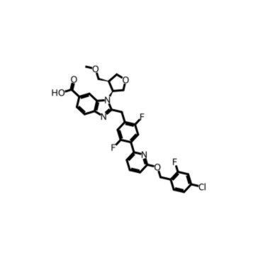 COC[C@H]1COC[C@H]1n1c(Cc2cc(F)c(-c3cccc(OCc4ccc(Cl)cc4F)n3)cc2F)nc2ccc(C(=O)O)cc21